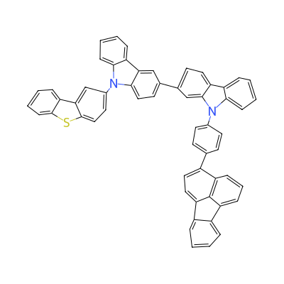 c1ccc2c(c1)-c1cccc3c(-c4ccc(-n5c6ccccc6c6ccc(-c7ccc8c(c7)c7ccccc7n8-c7ccc8sc9ccccc9c8c7)cc65)cc4)ccc-2c13